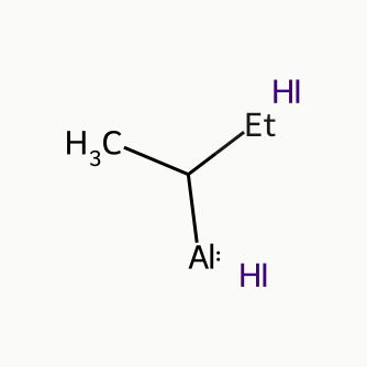 CC[CH](C)[Al].I.I